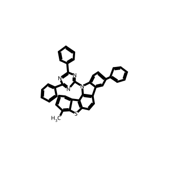 Cc1cccc2c1sc1ccc3c4cc(-c5ccccc5)ccc4n(-c4nc(-c5ccccc5)nc(-c5ccccc5)n4)c3c12